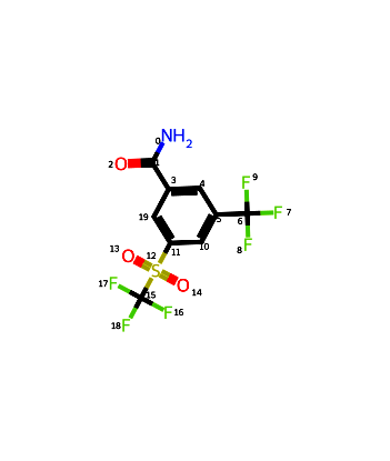 NC(=O)c1cc(C(F)(F)F)cc(S(=O)(=O)C(F)(F)F)c1